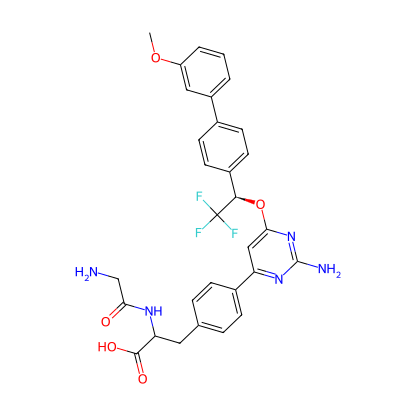 COc1cccc(-c2ccc([C@@H](Oc3cc(-c4ccc(CC(NC(=O)CN)C(=O)O)cc4)nc(N)n3)C(F)(F)F)cc2)c1